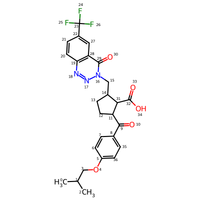 CC(C)COc1ccc(C(=O)C2CCC(Cn3nnc4ccc(C(F)(F)F)cc4c3=O)C2C(=O)O)cc1